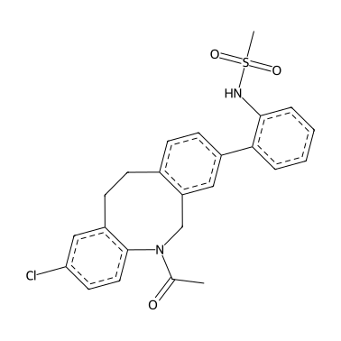 CC(=O)N1Cc2cc(-c3ccccc3NS(C)(=O)=O)ccc2CCc2cc(Cl)ccc21